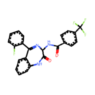 O=C(NC1N=C(c2ccccc2F)c2ccccc2NC1=O)c1ccc(C(F)(F)F)cc1